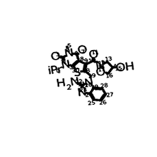 CC(C)n1c(=O)n(C)c(=O)c2c(C(=O)N3CC(O)CO3)c(Cn3c(N)nc4ccccc43)sc21